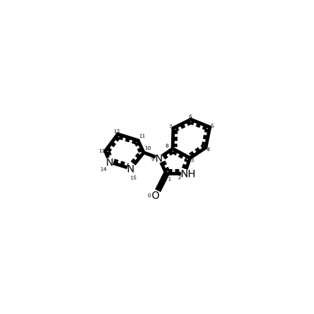 O=c1[nH]c2ccccc2n1-c1cccnn1